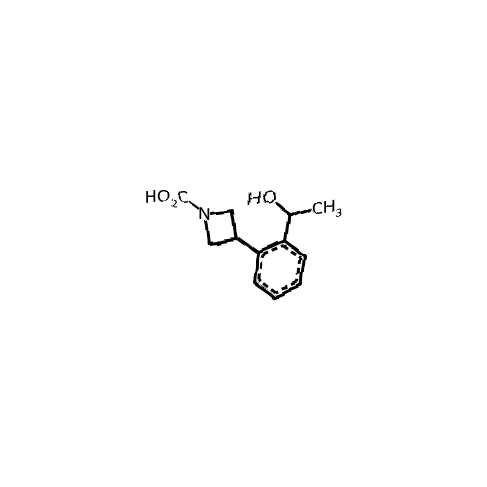 CC(O)c1ccccc1C1CN(C(=O)O)C1